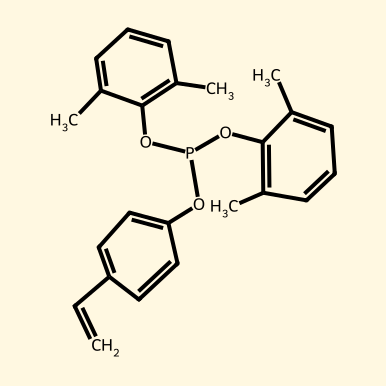 C=Cc1ccc(OP(Oc2c(C)cccc2C)Oc2c(C)cccc2C)cc1